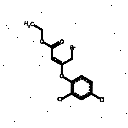 CCOC(=O)C=C(CBr)Oc1ccc(Cl)cc1Cl